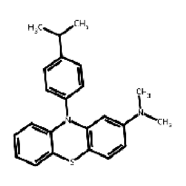 CC(C)c1ccc(N2c3ccccc3Sc3ccc(N(C)C)cc32)cc1